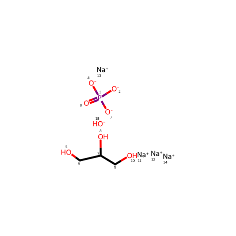 O=P([O-])([O-])[O-].OCC(O)CO.[Na+].[Na+].[Na+].[Na+].[OH-]